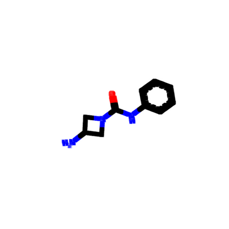 NC1CN(C(=O)Nc2ccccc2)C1